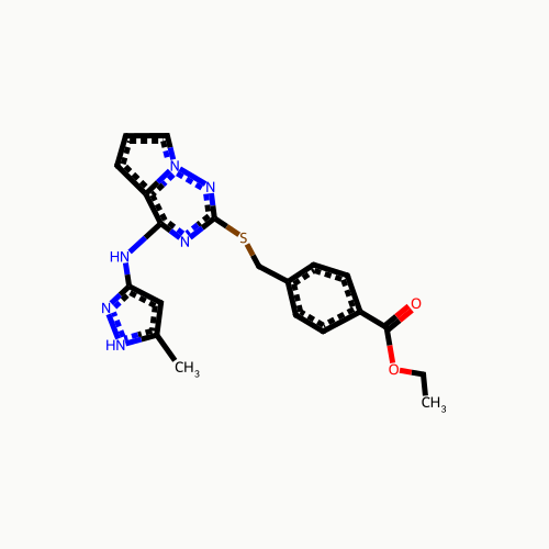 CCOC(=O)c1ccc(CSc2nc(Nc3cc(C)[nH]n3)c3cccn3n2)cc1